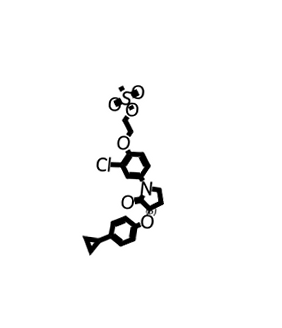 CS(=O)(=O)OCCOc1ccc(N2CC[C@H](Oc3ccc(C4CC4)cc3)C2=O)cc1Cl